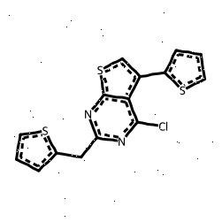 Clc1nc(Cc2cccs2)nc2scc(-c3cccs3)c12